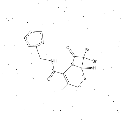 CC1=C(C(=O)NCc2ccccc2)N2C(=O)C(Br)(Br)[C@@H]2SC1